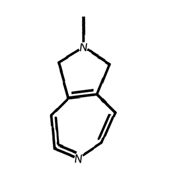 CN1CC2=C(C=CN=C=C2)C1